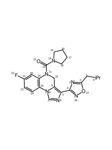 CC(C)Cc1nc(-c2ncn3c2CN(C(=O)N2CCCC2)c2cc(F)ccc2-3)no1